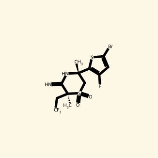 C[C@]1(CC(F)(F)F)C(=N)N[C@](C)(c2sc(Br)cc2F)CS1(=O)=O